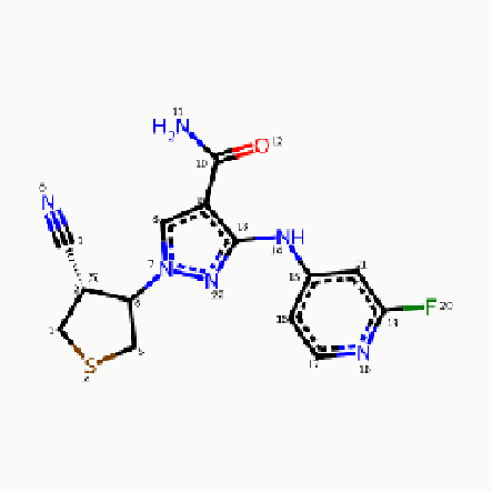 N#C[C@H]1CSCC1n1cc(C(N)=O)c(Nc2ccnc(F)c2)n1